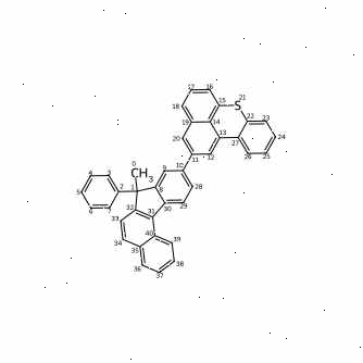 CC1(c2ccccc2)c2cc(-c3cc4c5c(cccc5c3)Sc3ccccc3-4)ccc2-c2c1ccc1ccccc21